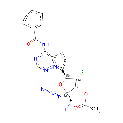 CC(=O)O[C@H]1[C@@H](F)[C@H](c2ccc3c(NC(=O)c4ccccc4)ncnn23)O[C@@]1(CI)N=[N+]=[N-]